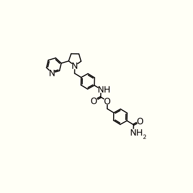 NC(=O)c1ccc(COC(=O)Nc2ccc(CN3CCCC3c3cccnc3)cc2)cc1